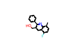 Cc1ccc(F)c2cc(CO)c(-c3ccccc3)nc12